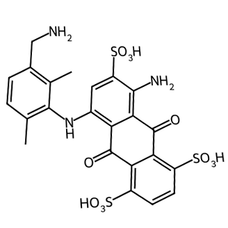 Cc1ccc(CN)c(C)c1Nc1cc(S(=O)(=O)O)c(N)c2c1C(=O)c1c(S(=O)(=O)O)ccc(S(=O)(=O)O)c1C2=O